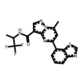 Cc1cc(-c2cccc3ncsc23)nc2c(C(=O)NC(C)C(F)(F)F)cnn12